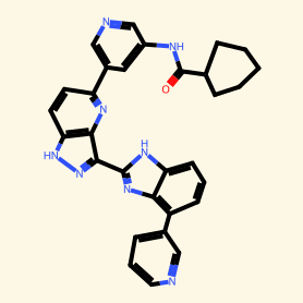 O=C(Nc1cncc(-c2ccc3[nH]nc(-c4nc5c(-c6cccnc6)cccc5[nH]4)c3n2)c1)C1CCCCC1